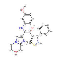 COc1cccc(NC(C(=O)c2c(-c3ccccc3)nsc2C)c2cn3c(n2)COCC3)c1